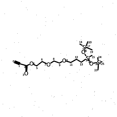 C#CC(=O)OCCOCCOCCC[Si](C)(O[Si](C)(C)C)O[Si](C)(C)C